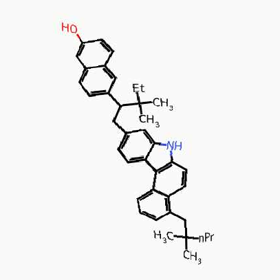 CCCC(C)(C)Cc1cccc2c1ccc1[nH]c3cc(CC(c4ccc5cc(O)ccc5c4)C(C)(C)CC)ccc3c12